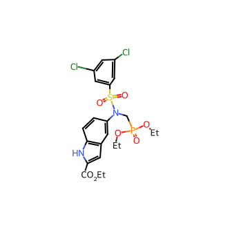 CCOC(=O)c1cc2cc(N(CP(=O)(OCC)OCC)S(=O)(=O)c3cc(Cl)cc(Cl)c3)ccc2[nH]1